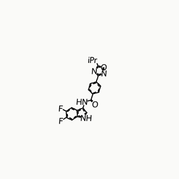 CC(C)c1nc(-c2ccc(C(=O)Nc3c[nH]c4cc(F)c(F)cc34)cc2)no1